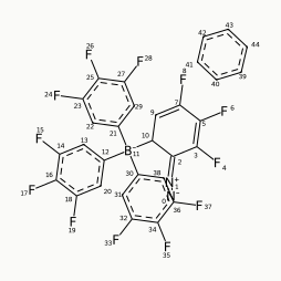 [N-]=[N+]=C1C(F)=C(F)C(F)=CC1[B-](c1cc(F)c(F)c(F)c1)(c1cc(F)c(F)c(F)c1)c1cc(F)c(F)c(F)c1.c1ccccc1